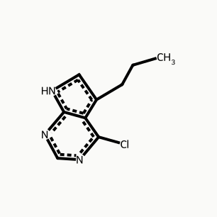 CCCc1c[nH]c2ncnc(Cl)c12